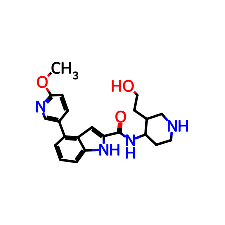 COc1ccc(-c2cccc3[nH]c(C(=O)NC4CCNCC4CCO)cc23)cn1